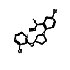 CC(O)c1cc(Br)ccc1N1CCC(Oc2ncccc2Cl)C1